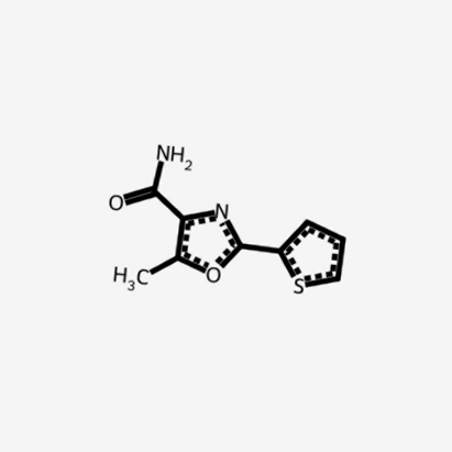 Cc1oc(-c2cccs2)nc1C(N)=O